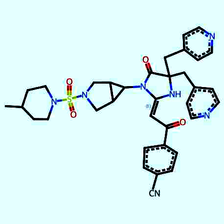 CC1CCN(S(=O)(=O)N2CC3C(C2)C3N2C(=O)C(Cc3ccncc3)(Cc3ccncc3)N/C2=C\C(=O)c2ccc(C#N)cc2)CC1